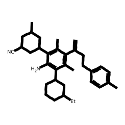 C=C(CCc1ccc(C)cc1)c1c(C)c(C2CC(C)CC(C#N)C2)c(N)c(C2CCCC(CC)C2)c1C